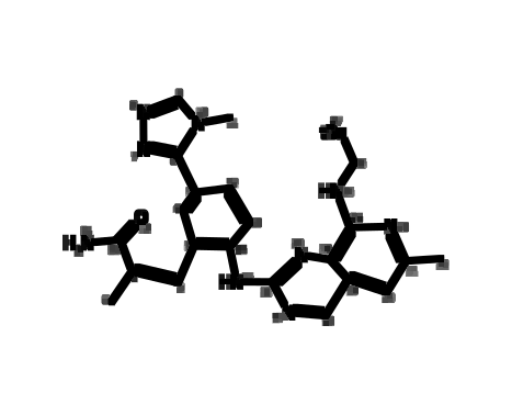 CC(=Cc1cc(-c2nncn2C)ccc1Nc1ncc2cc(C)nc(NCC(C)(C)C)c2n1)C(N)=O